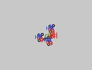 COc1ccccc1S(=O)(=O)N(Cc1ccc(C(F)(F)P(=O)(O)O)c(Cl)c1)Cc1ccccc1C1CCCCN1.COc1ccccc1S(=O)(=O)NCc1ccccc1N1CCCCC1.COc1ccccc1S(=O)(=O)NCc1ccccc1N1CCCCC1